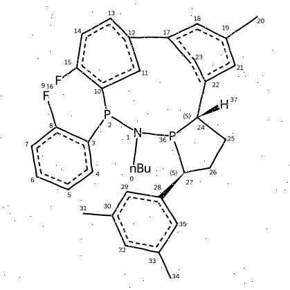 CCCCN1P(c2ccccc2F)c2cc(ccc2F)-c2cc(C)cc(c2)[C@@H]2CC[C@@H](c3cc(C)cc(C)c3)P21